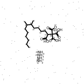 CCCCCCC(C)C(C)CCCCC(C(=O)O)C(C(=O)O)(C(=O)O)C(=O)O.N.N.N.N